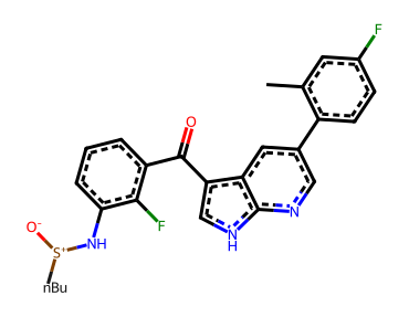 CCCC[S+]([O-])Nc1cccc(C(=O)c2c[nH]c3ncc(-c4ccc(F)cc4C)cc23)c1F